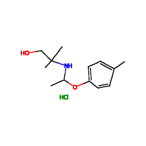 Cc1ccc(OC(C)NC(C)(C)CO)cc1.Cl